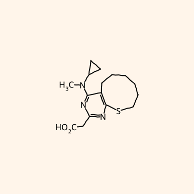 CN(c1nc(CC(=O)O)nc2c1CCCCCCS2)C1CC1